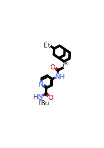 CCC1CC2CC[C@H](CC(=O)Nc3ccnc(C(=O)NC(C)(C)C)c3)C(C1)C2